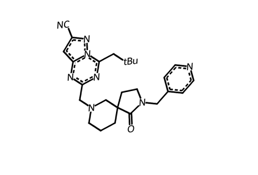 CC(C)(C)Cc1nc(CN2CCCC3(CCN(Cc4ccncc4)C3=O)C2)nc2cc(C#N)nn12